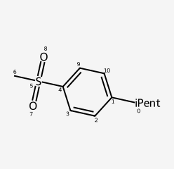 CCCC(C)c1ccc(S(C)(=O)=O)cc1